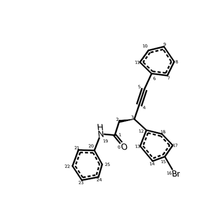 O=C(C[C@@H](C#Cc1ccccc1)c1ccc(Br)cc1)Nc1ccccc1